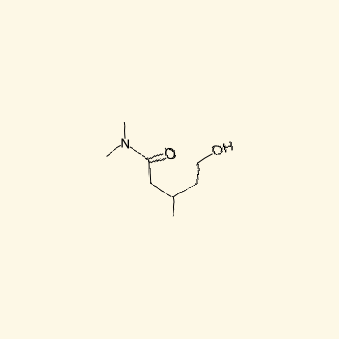 CC(CCO)CC(=O)N(C)C